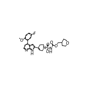 COc1ccc(F)cc1-c1ccnc2[nH]c(C3=CCN(S(=O)(=O)NC(=O)OCC4CCOCC4)CC3)cc12